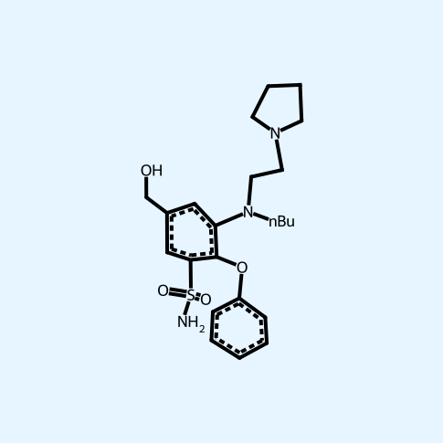 CCCCN(CCN1CCCC1)c1cc(CO)cc(S(N)(=O)=O)c1Oc1ccccc1